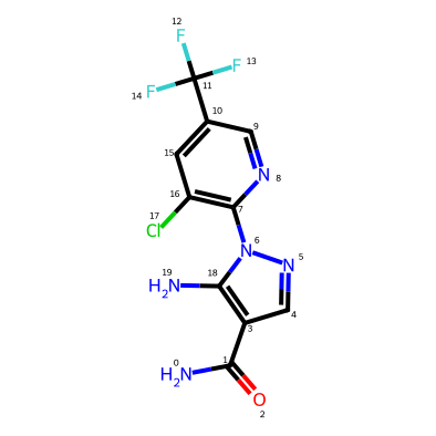 NC(=O)c1cnn(-c2ncc(C(F)(F)F)cc2Cl)c1N